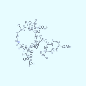 COc1ccc2c(O[C@@H]3C[C@H]4C(=O)N[C@]5(C(=O)NS(=O)(=O)C6CC6)C[C@H]5/C=C\CC[C@@H](C)C[C@@H](C)[C@H](N(C(=O)O)[C@H](C)C(F)(F)F)C(=O)N4C3)nc(N(C)C)cc2c1